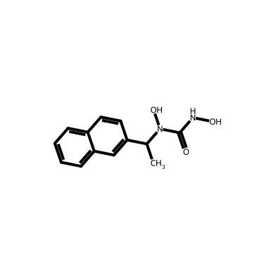 CC(c1ccc2ccccc2c1)N(O)C(=O)NO